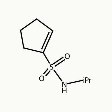 CC(C)NS(=O)(=O)C1=CCCC1